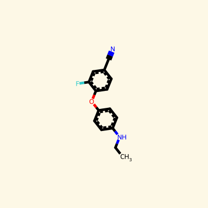 CCNc1ccc(Oc2ccc(C#N)cc2F)cc1